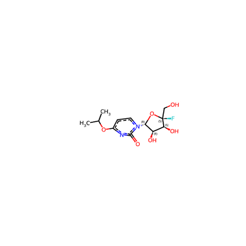 CC(C)Oc1ccn([C@@H]2O[C@](F)(CO)[C@@H](O)[C@H]2O)c(=O)n1